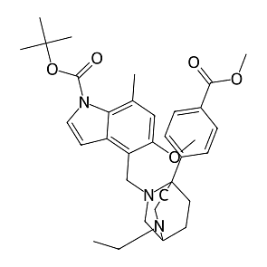 CCN1CCC2(c3ccc(C(=O)OC)cc3)CCC1CN2Cc1c(OC)cc(C)c2c1ccn2C(=O)OC(C)(C)C